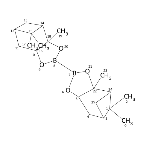 CC1(C)C2CC3OB(B4OC5CC6CC(C6(C)C)C5(C)O4)OC3(C)C1C2